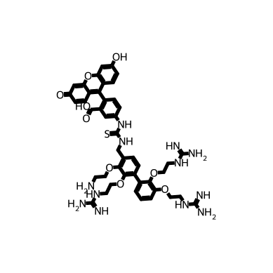 N=C(N)NCCOc1cccc(-c2ccc(CNC(=S)Nc3ccc(-c4c5ccc(=O)cc-5oc5cc(O)ccc45)c(C(=O)O)c3)c(OCCN)c2OCCNC(=N)N)c1OCCNC(=N)N